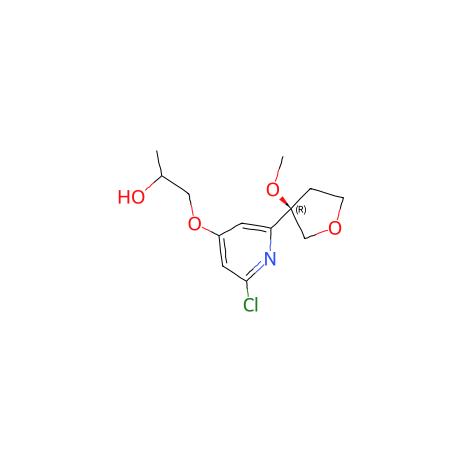 CO[C@@]1(c2cc(OCC(C)O)cc(Cl)n2)CCOC1